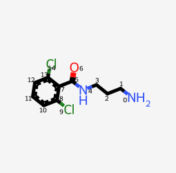 NCCCNC(=O)c1c(Cl)cccc1Cl